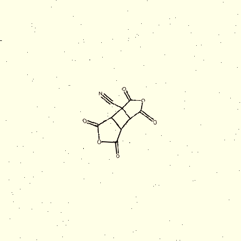 N#CC12C(=O)OC(=O)C1C1C(=O)OC(=O)C12